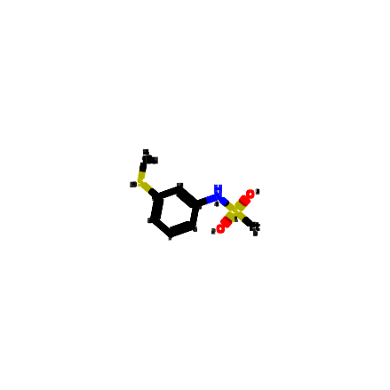 CCS(=O)(=O)Nc1cccc(SC(C)(C)C)c1